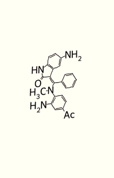 CC(=O)c1ccc(N(C)C(=C2C(=O)Nc3ccc(N)cc32)c2ccccc2)c(N)c1